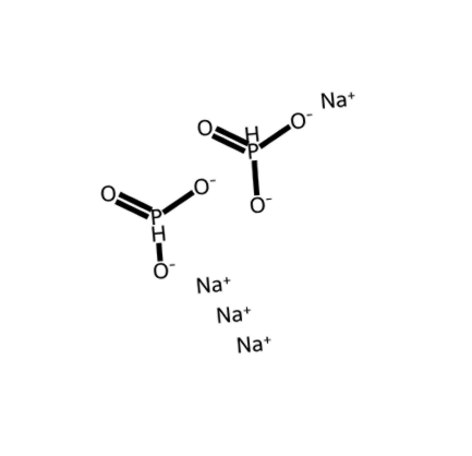 O=[PH]([O-])[O-].O=[PH]([O-])[O-].[Na+].[Na+].[Na+].[Na+]